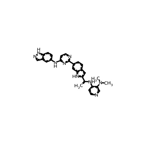 C=C(Nc1ccncc1N(C)C)c1cc2ccc(-c3nccc(Nc4ccc5[nH]ncc5c4)n3)cc2[nH]1